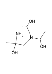 CC(O)N(CC(C)(N)O)C(C)O